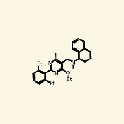 CCOc1nc(-c2c(CC)cccc2CC)nc(C)c1CN(C)C1CCCc2ccccc21